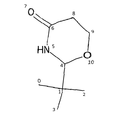 CC(C)(C)C1NC(=O)CCO1